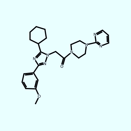 COc1cccc(-c2nc(C3CCCCC3)n(CC(=O)N3CCN(c4ncccn4)CC3)n2)c1